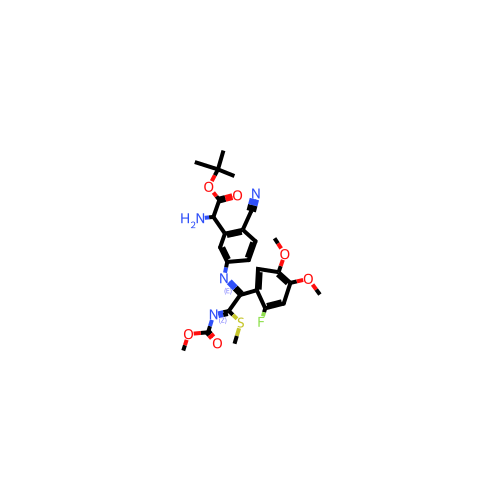 COC(=O)/N=C(SC)/C(=N/c1ccc(C#N)c(C(N)C(=O)OC(C)(C)C)c1)c1cc(OC)c(OC)cc1F